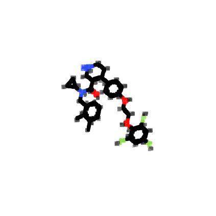 Cc1cccc(CN(C(=O)C2=C(c3ccc(OCCOc4c(F)cc(F)cc4F)cc3)CCNC2)C2CC2)c1C